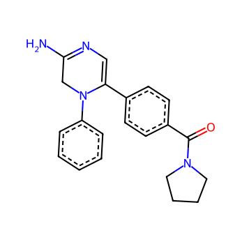 NC1=NC=C(c2ccc(C(=O)N3CCCC3)cc2)N(c2ccccc2)C1